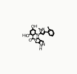 Cc1ccccc1-c1cc(Nc2cc(O)cc(O)c2C(=O)N2Cc3cn[nH]c3C2)n(C)n1